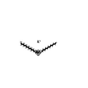 CCCCCCCCCCCCOOP(=O)([O-])OOCCCCCCCCCCCC.[K+]